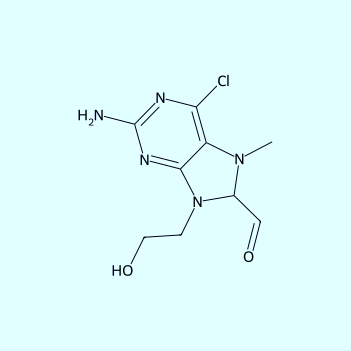 CN1c2c(Cl)nc(N)nc2N(CCO)C1C=O